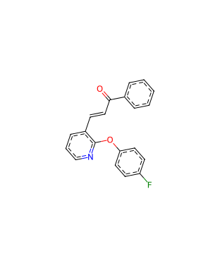 O=C(C=Cc1cccnc1Oc1ccc(F)cc1)c1ccccc1